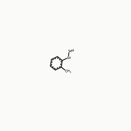 Cc1ccccc1[Se][SeH]